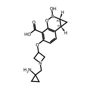 NC1(CN2CC(Oc3ccc4c(c3C(=O)O)OB(O)[C@@H]3C[C@H]43)C2)CC1